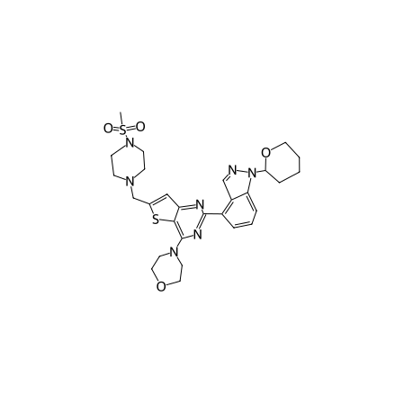 CS(=O)(=O)N1CCN(Cc2cc3nc(-c4cccc5c4cnn5C4CCCCO4)nc(N4CCOCC4)c3s2)CC1